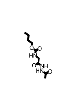 CCCCOC(=O)NCC(=O)NNC(C)=O